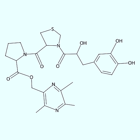 Cc1nc(C)c(COC(=O)C2CCCN2C(=O)C2CSCN2C(=O)C(O)Cc2ccc(O)c(O)c2)nc1C